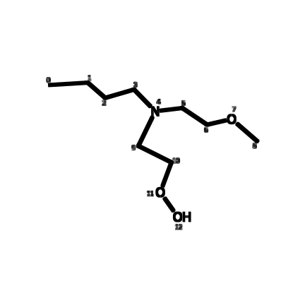 CCCCN(CCOC)CCOO